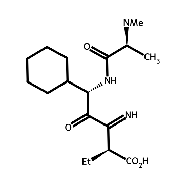 CC[C@@H](C(=N)C(=O)[C@@H](NC(=O)[C@H](C)NC)C1CCCCC1)C(=O)O